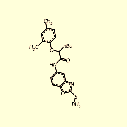 BSc1nc2cc(NC(=O)C(CCCC)Oc3ccc(C)cc3C)ccc2o1